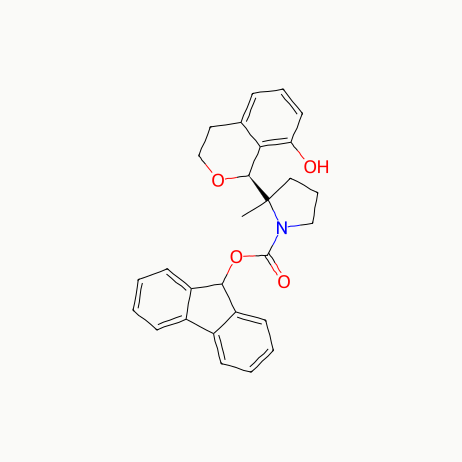 CC1([C@H]2OCCc3cccc(O)c32)CCCN1C(=O)OC1c2ccccc2-c2ccccc21